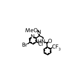 CO/N=C(/CNC(=O)c1ccccc1C(F)(F)F)c1ncc(Br)cc1Cl